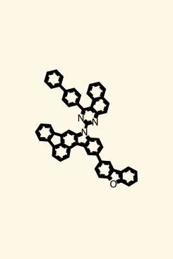 c1ccc(-c2ccc(-c3nc(-n4c5ccc(-c6ccc7oc8ccccc8c7c6)cc5c5c6cccc7c6c(cc54)-c4ccccc4-7)nc4ccc5ccccc5c34)cc2)cc1